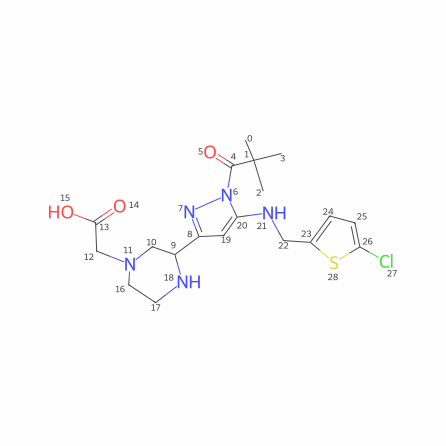 CC(C)(C)C(=O)n1nc(C2CN(CC(=O)O)CCN2)cc1NCc1ccc(Cl)s1